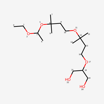 CCOC(C)OC(C)(C)CCOC(C)(C)CCOC(CO)CO